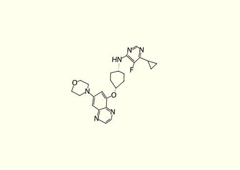 Fc1c(N[C@H]2CC[C@@H](Oc3cc(N4CCOCC4)cc4nccnc34)CC2)ncnc1C1CC1